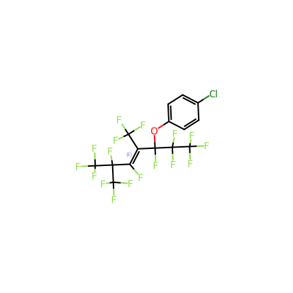 F/C(=C(/C(F)(F)F)C(F)(Oc1ccc(Cl)cc1)C(F)(F)C(F)(F)F)C(F)(C(F)(F)F)C(F)(F)F